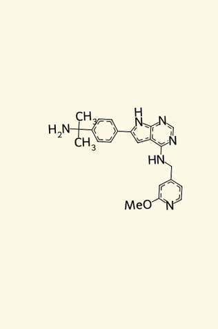 COc1cc(CNc2ncnc3[nH]c(-c4ccc(C(C)(C)N)cc4)cc23)ccn1